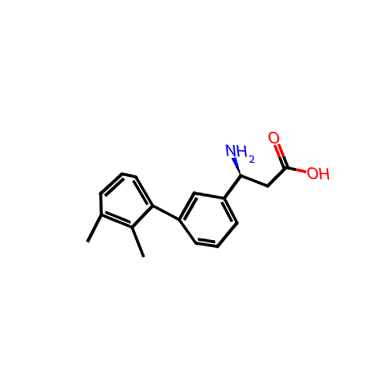 Cc1cccc(-c2cccc([C@@H](N)CC(=O)O)c2)c1C